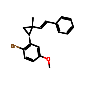 COc1ccc(Br)c([C@@H]2C[C@]2(C)/C=C/c2ccccc2)c1